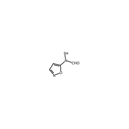 O=CN(S)c1ccno1